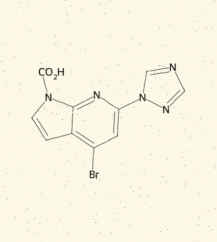 O=C(O)n1ccc2c(Br)cc(-n3cncn3)nc21